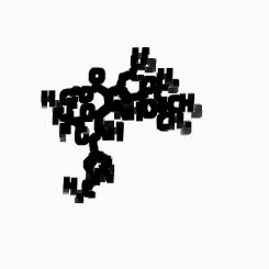 CCOC(=O)c1c(C(NCc2cnn(C)c2)OC(=O)C(F)(F)F)[nH]c(C(=O)OC(C)(C)C)c1CC